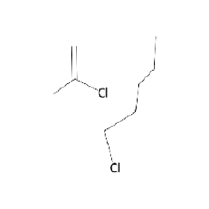 C=C(C)Cl.CCCCCCl